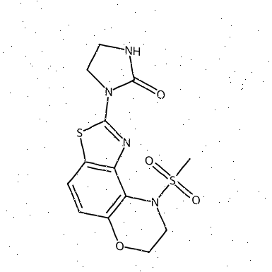 CS(=O)(=O)N1CCOc2ccc3sc(N4CCNC4=O)nc3c21